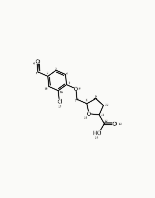 O=Cc1ccc(OCC2CCC(C(=O)O)O2)c(Cl)c1